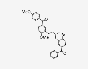 COc1ccc(C(=O)c2ccc(OC)c(CCC(C)Cc3cc(C(=O)c4ccccc4)ccc3Br)c2)cc1